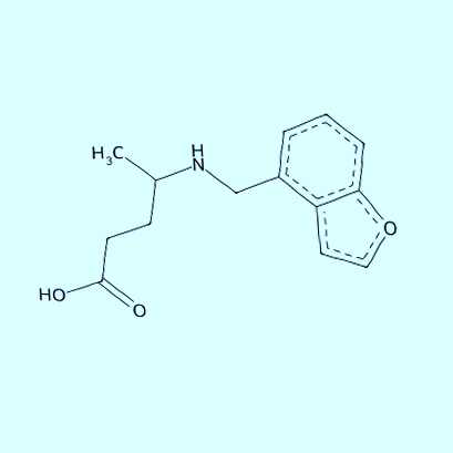 CC(CCC(=O)O)NCc1cccc2occc12